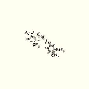 CC(=O)c1ccc(OCCCOc2ccc(C)c(N)c2)c(CCC(F)(F)F)c1O